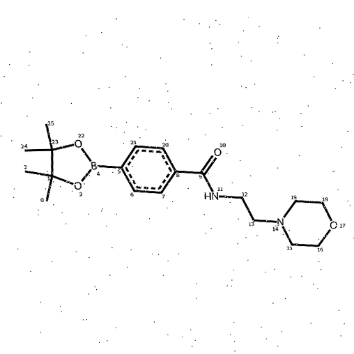 CC1(C)OB(c2ccc(C(=O)NCCN3CCOCC3)cc2)OC1(C)C